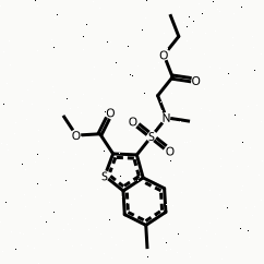 CCOC(=O)CN(C)S(=O)(=O)c1c(C(=O)OC)sc2cc(C)ccc12